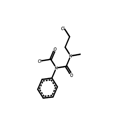 CN(CCCl)C(=O)N(C(=O)Cl)c1ccccc1